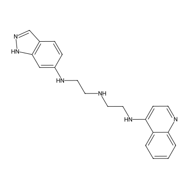 c1ccc2c(NCCNCCNc3ccc4cn[nH]c4c3)ccnc2c1